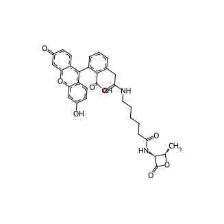 C[C@H]1OC(=O)[C@H]1NC(=O)CCCCCNC(=O)Cc1cccc(-c2c3ccc(=O)cc-3oc3cc(O)ccc23)c1C(=O)O